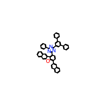 c1ccc(-c2cc(-c3ccccc3)cc(-c3nc(-c4ccccc4)nc(-c4ccc(-c5ccc6ccccc6c5)c5oc6cc7ccccc7cc6c45)n3)c2)cc1